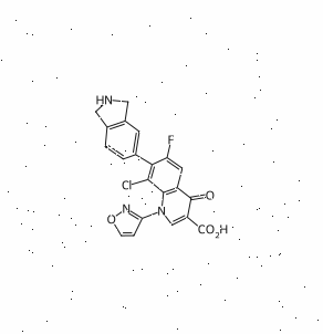 O=C(O)c1cn(-c2ccon2)c2c(Cl)c(-c3ccc4c(c3)CNC4)c(F)cc2c1=O